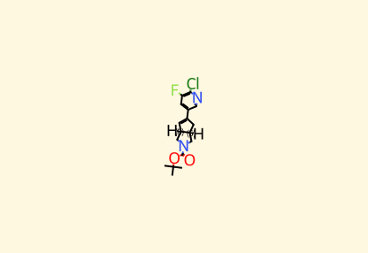 CC(C)(C)OC(=O)N1C[C@H]2CC(c3cnc(Cl)c(F)c3)=C[C@H]2C1